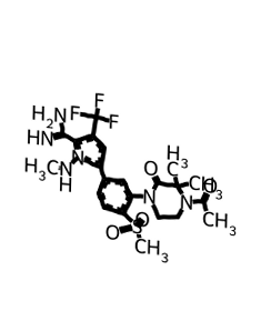 CNn1c(-c2ccc(S(C)(=O)=O)c(N3CCN(C(C)=O)C(C)(C)C3=O)c2)cc(C(F)(F)F)c1C(=N)N